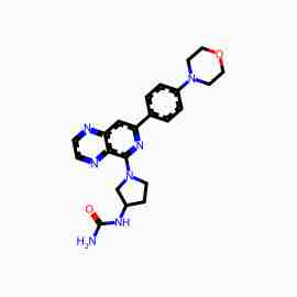 NC(=O)NC1CCN(c2nc(-c3ccc(N4CCOCC4)cc3)cc3nccnc23)C1